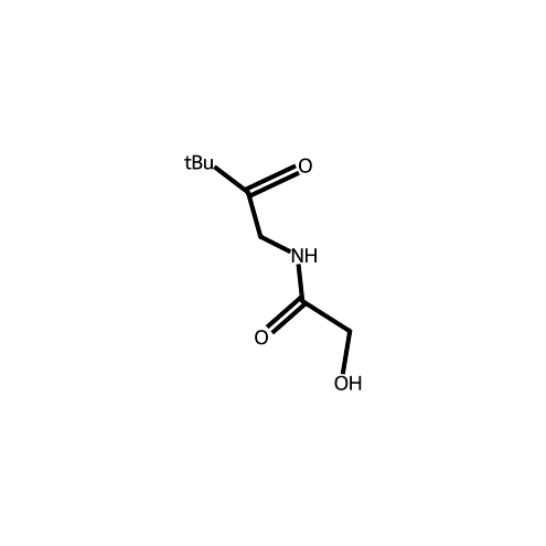 CC(C)(C)C(=O)CNC(=O)CO